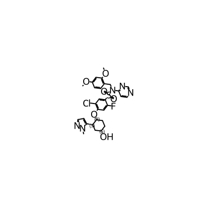 COc1ccc(CN(c2ccncn2)S(=O)(=O)c2cc(Cl)c(O[C@@H]3CC[C@H](O)C[C@H]3c3ccnn3C)cc2F)c(OC)c1